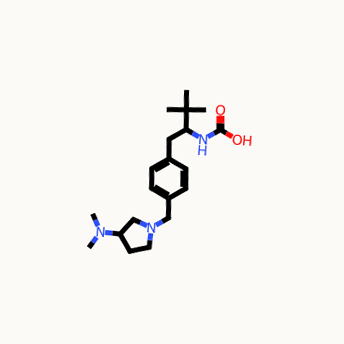 CN(C)C1CCN(Cc2ccc(CC(NC(=O)O)C(C)(C)C)cc2)C1